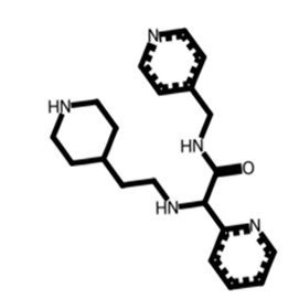 O=C(NCc1ccncc1)C(NCCC1CCNCC1)c1ccccn1